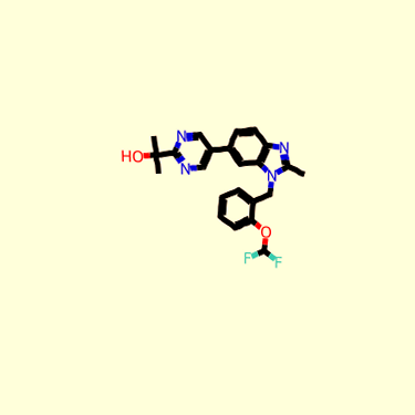 Cc1nc2ccc(-c3cnc(C(C)(C)O)nc3)cc2n1Cc1ccccc1OC(F)F